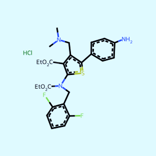 CCOC(=O)c1c(N(Cc2c(F)cccc2F)C(=O)OCC)sc(-c2ccc(N)cc2)c1CN(C)C.Cl